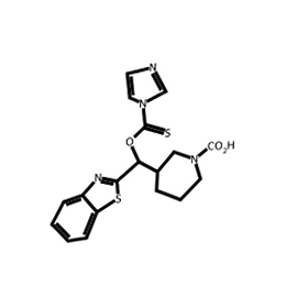 O=C(O)N1CCCC(C(OC(=S)n2ccnc2)c2nc3ccccc3s2)C1